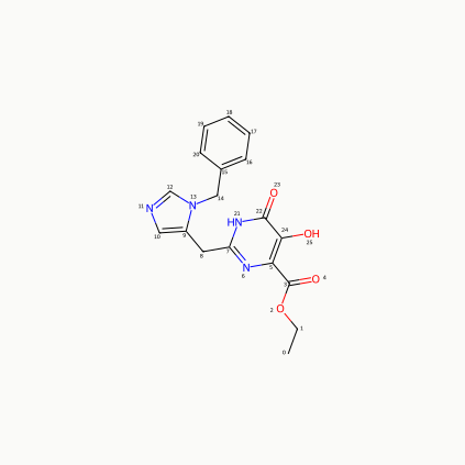 CCOC(=O)c1nc(Cc2cncn2Cc2ccccc2)[nH]c(=O)c1O